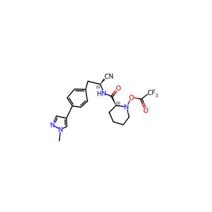 Cn1cc(-c2ccc(C[C@@H](C#N)NC(=O)[C@@H]3CCCCN3OC(=O)C(F)(F)F)cc2)cn1